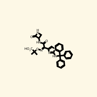 CC(C)(ON=C(C(=O)NC1CNC1=O)c1csc(NC(c2ccccc2)(c2ccccc2)c2ccccc2)n1)C(=O)O